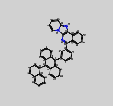 c1cc(-c2c3ccccc3c(-c3cccc4ccccc34)c3ccccc23)cc(-c2nc3c(nc4ccccn43)c3ccccc23)c1